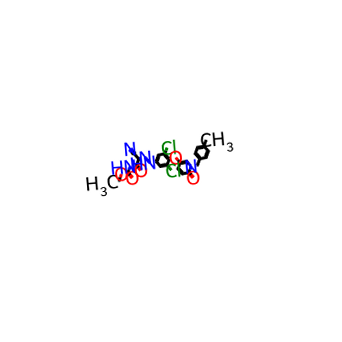 CCOC(=O)NC(=O)C(C#N)=NNc1cc(Cl)c(Oc2ccc(=O)n(Cc3ccc(C)cc3)c2)c(Cl)c1